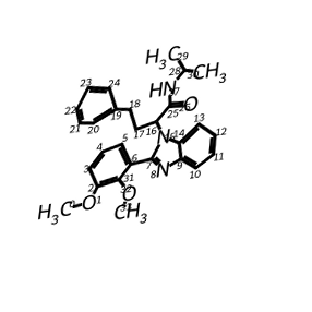 COc1cccc(-c2nc3ccccc3n2C(CCc2ccccc2)C(=O)NC(C)C)c1OC